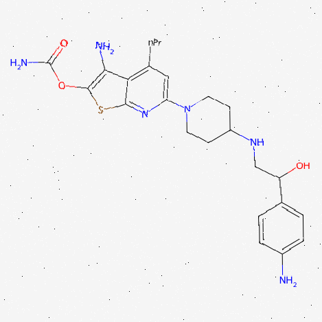 CCCc1cc(N2CCC(NCC(O)c3ccc(N)cc3)CC2)nc2sc(OC(N)=O)c(N)c12